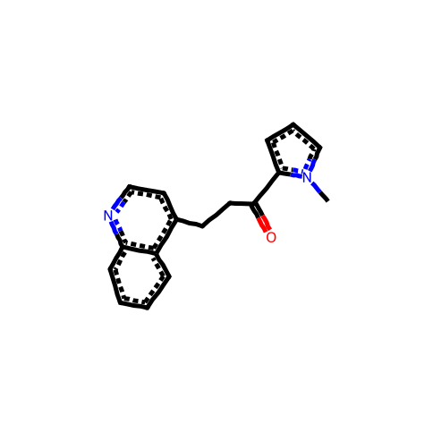 Cn1cccc1C(=O)CCc1ccnc2ccccc12